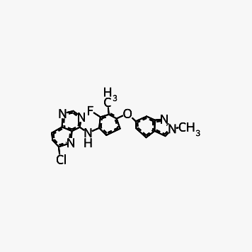 Cc1c(Oc2ccc3cn(C)nc3c2)ccc(Nc2ncnc3ccc(Cl)nc23)c1F